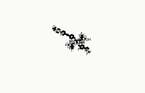 COC(=O)N[C@H](C(=O)N[C@@H](Cc1ccc(C#Cc2ccc(N3CCN(C4(C)COC4)CC3)nc2)cc1)[C@@H](O)CN(Cc1c(F)cc(-c2ccn(C(F)F)n2)cc1F)NC(=O)[C@@H](NC(=O)O)C(C)(C)C(F)(F)F)C(C)(C)C(F)(F)F